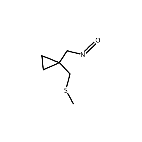 CSCC1(CN=O)CC1